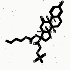 CCCCOC(=O)O[C@]1(C(=O)COS(C)(=O)=O)CC[C@H]2[C@@H]3CCC4=CC(=O)C=C[C@]4(C)[C@H]3C(=O)C[C@@]21C